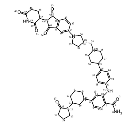 NC(=O)c1ncc(N2CCCC(N3CCCC3=O)C2)nc1Nc1ccc(C2CCN(C[C@@H]3CCN(c4ccc5c(c4)C(=O)N(C4CCC(=O)NC4=O)C5=O)C3)CC2)cc1